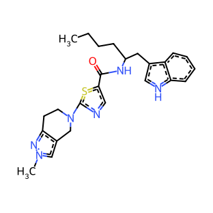 CCCCC(Cc1c[nH]c2ccccc12)NC(=O)c1cnc(N2CCc3nn(C)cc3C2)s1